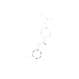 CCC(CC)CC1(O)CCN(C(=O)Nc2cc(F)cc(C(F)(F)F)c2)CC1